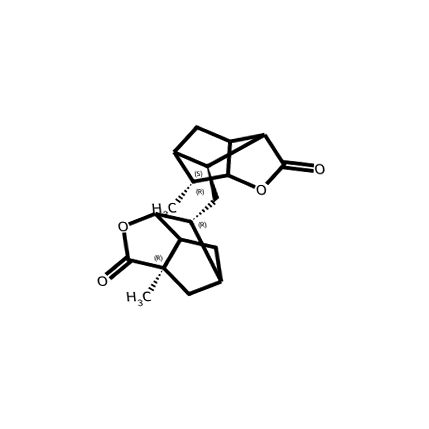 C[C@H]1C2OC(=O)C3C2CC1[C@@H]3C[C@@H]1C2CC3C1OC(=O)[C@]3(C)C2